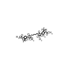 CC(=O)Nc1ccc(N2C(=O)N(CCCCCN3C(=O)N(c4ccc(NC(C)=O)c(C(F)(F)F)c4)C(C)(C)C3=O)C(=O)C2(C)C)cc1C(F)(F)F